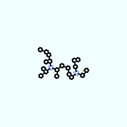 c1ccc(-c2ccc3ccc(-c4ccc(-c5nc(-c6ccc(-c7ccccc7)c7ccccc67)nc(-c6cc(-c7cccc(-c8cccc(-c9ccc%10cccc(-c%11nc(-c%12ccc(-c%13cccc%14ccccc%13%14)cc%12)nc(-c%12cccc%13c%12sc%12ccccc%12%13)n%11)c%10c9)c8)c7)cc7c6sc6ccccc67)n5)c5ccccc45)cc3c2)cc1